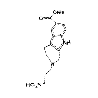 COC(=O)c1ccc2[nH]c3c(c2c1)CCN(CCCS(=O)(=O)O)C3